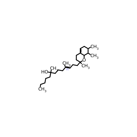 CCCCCC(C)(O)CCC/C(C)=C/CCC1(C)CCC2=CCC(C)C(C)C2O1